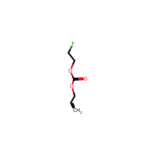 C=CCOC(=O)OCCF